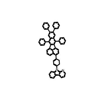 C1=C(c2ccc3c4c(cccc24)-c2c-3c(-c3ccccc3)c3cc(-c4ccccc4)c(-c4ccccc4)cc3c2-c2ccccc2)CCC(n2c3ccccc3c3cccnc32)=C1